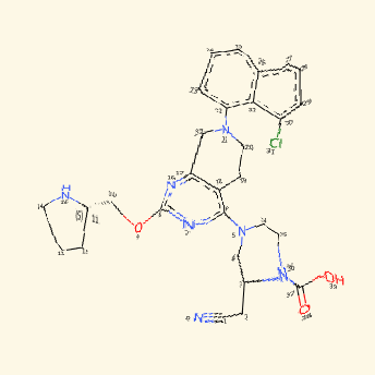 N#CCC1CN(c2nc(OC[C@@H]3CCCN3)nc3c2CCN(c2cccc4cccc(Cl)c24)C3)CCN1C(=O)O